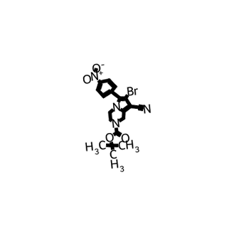 CC(C)(C)OC(=O)N1CCn2c(c(C#N)c(Br)c2-c2ccc([N+](=O)[O-])cc2)C1